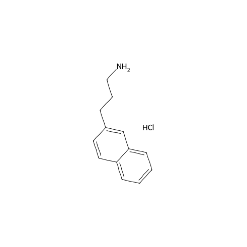 Cl.NCCCc1ccc2ccccc2c1